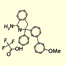 COc1cccc(-c2cccc(C3(c4ccccc4)Cc4ccccc4C(N)=N3)c2)c1.O=C(O)C(F)(F)F